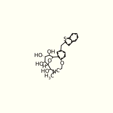 CN1CCOc2ccc(Cc3cc4ccccc4s3)cc2C2O[C@H](C1O)[C@@H](O)[C@H](O)[C@H]2O